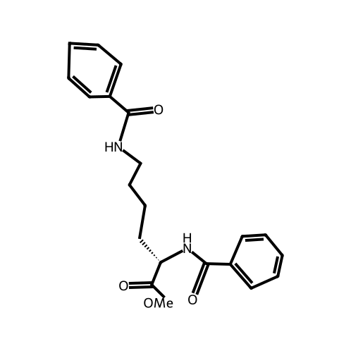 COC(=O)[C@H](CCCCNC(=O)c1ccccc1)NC(=O)c1ccccc1